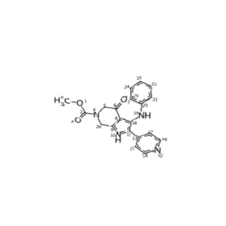 COC(=O)N1CC(=O)c2c([nH]c(-c3ccncc3)c2Nc2ccccc2)C1